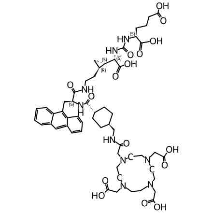 O=C(O)CCC[C@H](NC(=O)N[C@H](C(=O)O)[C@H]1C[C@@H]1CCNC(=O)[C@H](Cc1c2ccccc2cc2ccccc12)NC(=O)[C@H]1CC[C@H](CNC(=O)CN2CCN(CC(=O)O)CCN(CC(=O)O)CCN(CC(=O)O)CC2)CC1)C(=O)O